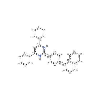 c1ccc(-c2cc(-c3ccccc3)nc(-c3ccc(-c4cccc5ccccc45)cc3)n2)cc1